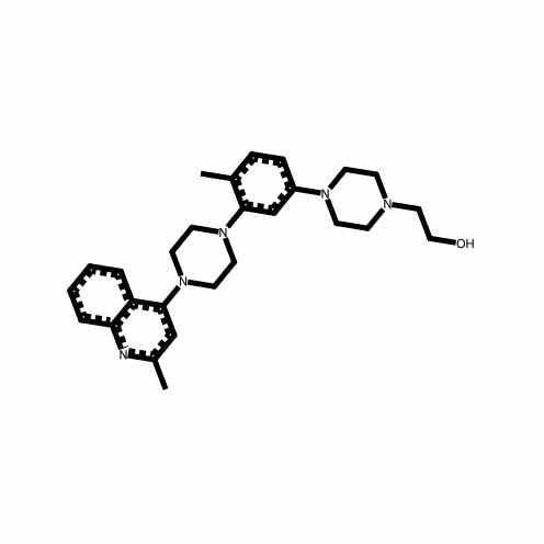 Cc1cc(N2CCN(c3cc(N4CCN(CCO)CC4)ccc3C)CC2)c2ccccc2n1